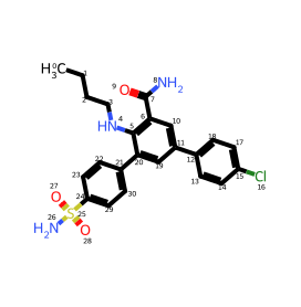 CCCCNc1c(C(N)=O)cc(-c2ccc(Cl)cc2)cc1-c1ccc(S(N)(=O)=O)cc1